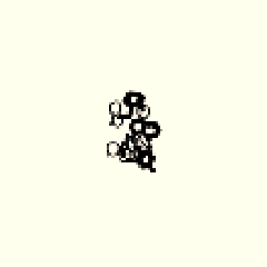 COC(=O)Cc1ccccc1Oc1ccc(N(CC(=O)OC)S(=O)(=O)c2c(C)cc(C)cc2C)c2ccccc12